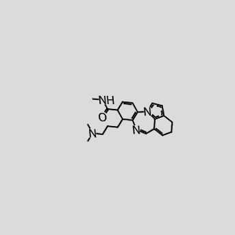 CNC(=O)C1C=CC2=C(N=CC3=CCCc4ccn2c43)C1CCCN(C)C